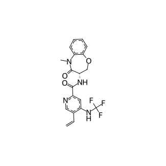 C=Cc1cnc(C(=O)N[C@H]2COc3ccccc3N(C)C2=O)cc1NC(F)(F)F